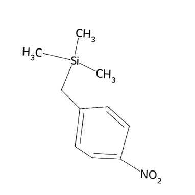 C[Si](C)(C)Cc1ccc([N+](=O)[O-])cc1